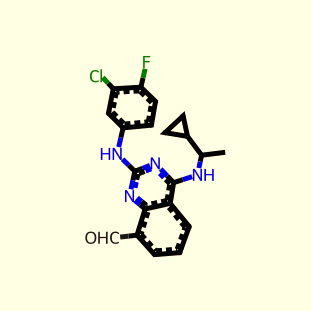 CC(Nc1nc(Nc2ccc(F)c(Cl)c2)nc2c(C=O)cccc12)C1CC1